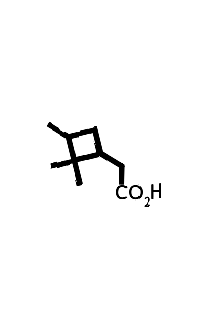 CC1CC(CC(=O)O)C1(C)C